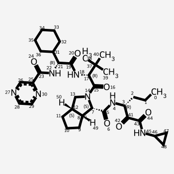 CCC[C@@H](NC(=O)[C@@H]1[C@@H]2CCC[C@@H]2CN1C(=O)[C@H](NC(=O)[C@H](NC(=O)c1cnccn1)C1CCCCC1)C(C)(C)C)C(=O)C(=O)NC1CC1